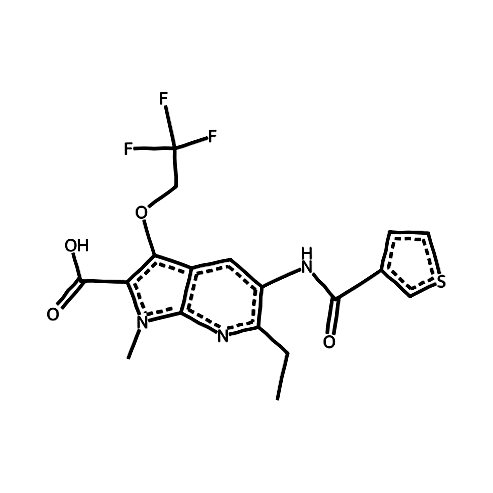 CCc1nc2c(cc1NC(=O)c1ccsc1)c(OCC(F)(F)F)c(C(=O)O)n2C